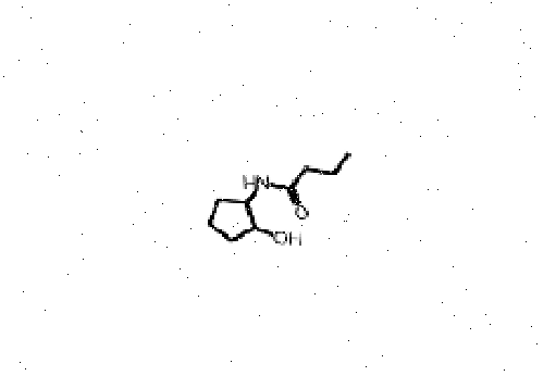 CCCC(=O)NC1CCCC1O